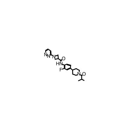 CC(C)C(=O)N1CCC(c2ccc(NC(=O)C3CN(c4cccnn4)C3)c(F)c2)CC1